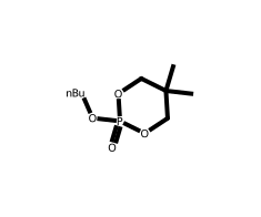 CCCCOP1(=O)OCC(C)(C)CO1